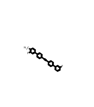 Cc1ccc(-c2ccc(C#Cc3ccc(-c4cccc(F)c4)cc3)cc2)cc1F